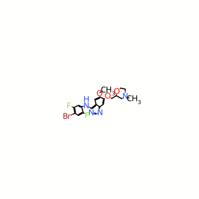 COc1cc2c(Nc3cc(F)c(Br)cc3F)ncnc2cc1OCC1CN(C)CCO1